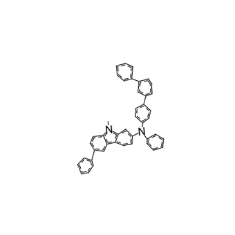 Cn1c2ccc(-c3ccccc3)cc2c2ccc(N(c3ccccc3)c3ccc(-c4cccc(-c5ccccc5)c4)cc3)cc21